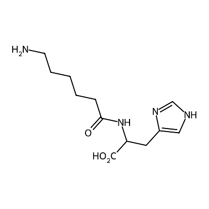 NCCCCCC(=O)NC(Cc1c[nH]cn1)C(=O)O